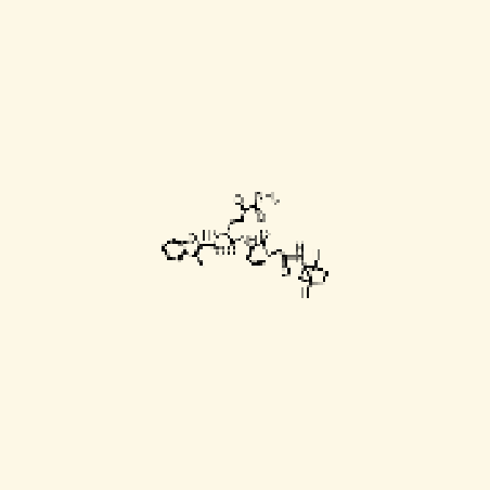 Cc1c(C(=O)N[C@@H](CCC(=O)C(N)=O)C(=O)Nc2cccn(CC(=O)N[C@@H]3C[C@H]4CC[C@@H]3C4)c2=O)oc2ccccc12